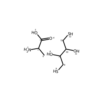 CC(N)C(=O)O.OC(CS)C(O)CS